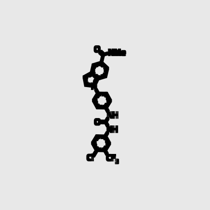 CNC(=O)c1ccc2c(ccn2-c2ccc(NC(=O)Nc3ccc(Cl)c(C(F)(F)F)c3)cc2)c1